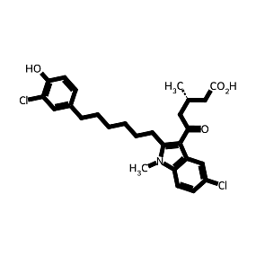 C[C@H](CC(=O)O)CC(=O)c1c(CCCCCCc2ccc(O)c(Cl)c2)n(C)c2ccc(Cl)cc12